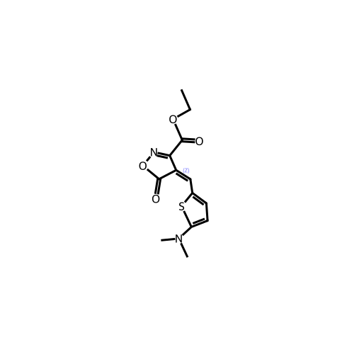 CCOC(=O)C1=NOC(=O)/C1=C\c1ccc(N(C)C)s1